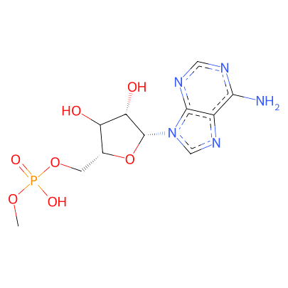 COP(=O)(O)OC[C@H]1O[C@@H](n2cnc3c(N)ncnc32)[C@@H](O)C1O